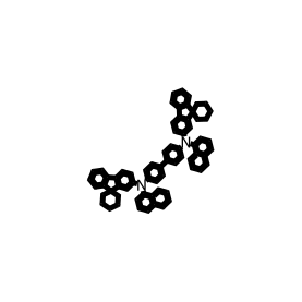 c1ccc2c(c1)-c1ccc(N(c3ccc(-c4ccc(N(c5ccc6c(c5)C5(CCCCC5)c5ccccc5-6)c5cccc6ccccc56)cc4)cc3)c3cccc4ccccc34)cc1C21CCCCC1